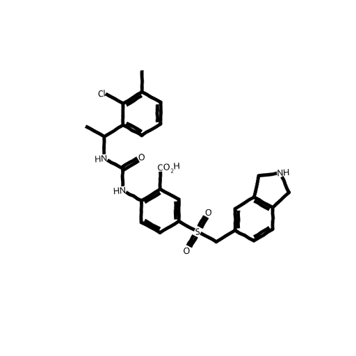 Cc1cccc(C(C)NC(=O)Nc2ccc(S(=O)(=O)Cc3ccc4c(c3)CNC4)cc2C(=O)O)c1Cl